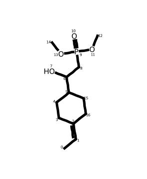 CC=C1CCC(C(O)CP(=O)(OC)OC)CC1